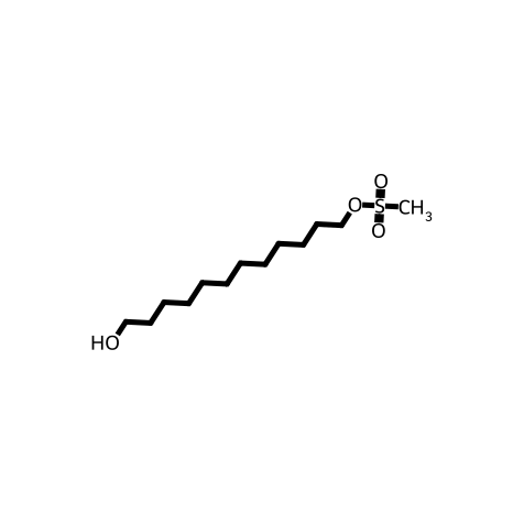 CS(=O)(=O)OCCCCCCCCCCCCO